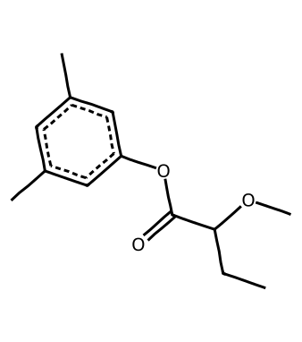 CCC(OC)C(=O)Oc1cc(C)cc(C)c1